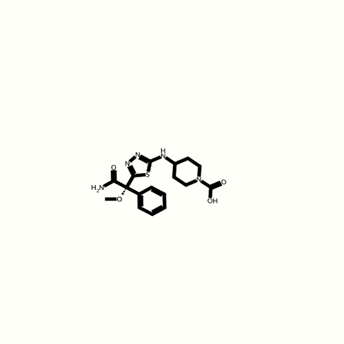 CO[C@@](C(N)=O)(c1ccccc1)c1nnc(NC2CCN(C(=O)O)CC2)s1